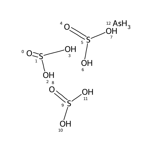 O=S(O)O.O=S(O)O.O=S(O)O.[AsH3]